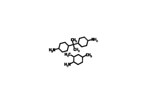 CC(C)(C1CCC(N)CC1)C1CCC(N)CC1.CC1CCC(N)C(C)C1